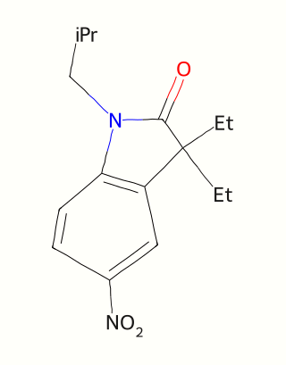 CCC1(CC)C(=O)N(CC(C)C)c2ccc([N+](=O)[O-])cc21